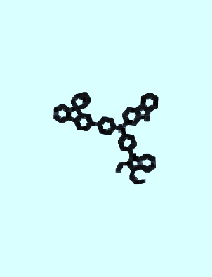 C=Cc1c(/C=C\C)c2ccccc2n1-c1ccc(N(c2ccc(-c3ccc4c(c3)C3(CC5CCC3C5)c3ccccc3-4)cc2)c2ccc3c(c2)sc2ccccc23)cc1